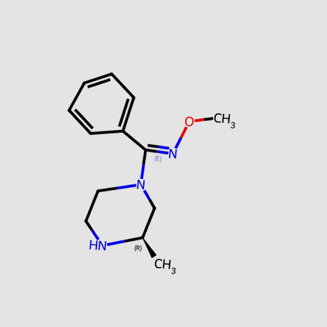 CO/N=C(\c1ccccc1)N1CCN[C@H](C)C1